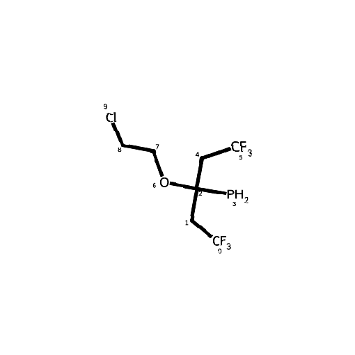 FC(F)(F)CC(P)(CC(F)(F)F)OCCCl